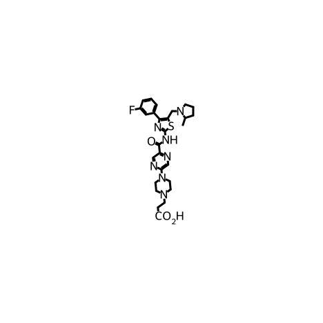 CC1CCCN1Cc1sc(NC(=O)c2cnc(N3CCN(CCC(=O)O)CC3)cn2)nc1-c1cccc(F)c1